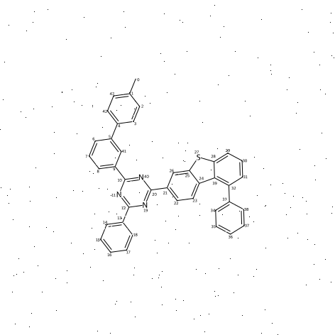 Cc1ccc(-c2cccc(-c3nc(-c4ccccc4)nc(-c4ccc5c(c4)sc4cccc(-c6ccccc6)c45)n3)c2)cc1